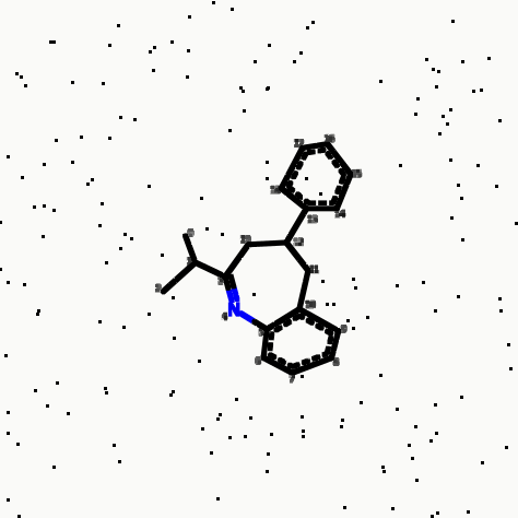 CC(C)C1=Nc2ccccc2CC(c2ccccc2)C1